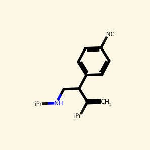 [C-]#[N+]c1ccc(C(CNC(C)C)C(=C)C(C)C)cc1